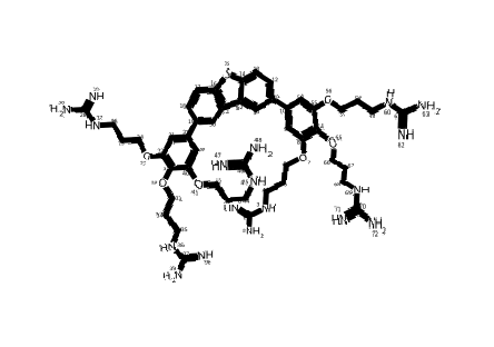 N=C(N)NCCCOc1cc(-c2ccc3sc4ccc(-c5cc(OCCCNC(=N)N)c(OCCCNC(=N)N)c(OCCCNC(=N)N)c5)cc4c3c2)cc(OCCCNC(=N)N)c1OCCCNC(=N)N